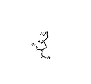 CCCOC(OCCC)O[SiH2]CN